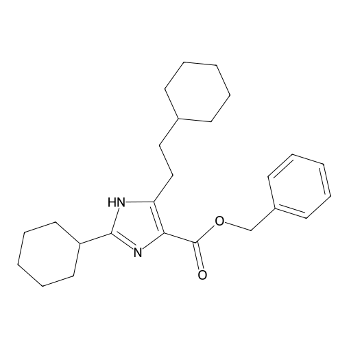 O=C(OCc1ccccc1)c1nc(C2CCCCC2)[nH]c1CCC1CCCCC1